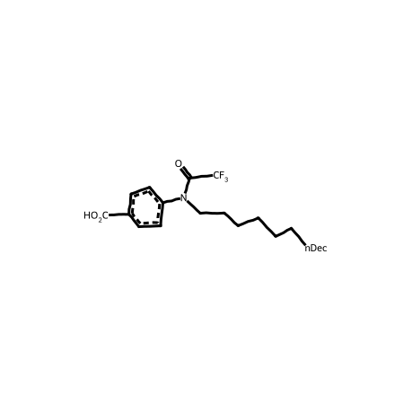 CCCCCCCCCCCCCCCCN(C(=O)C(F)(F)F)c1ccc(C(=O)O)cc1